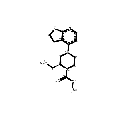 COC[C@H]1CN(c2ccnc3c2CCN3)CCN1C(=O)OC(C)(C)C